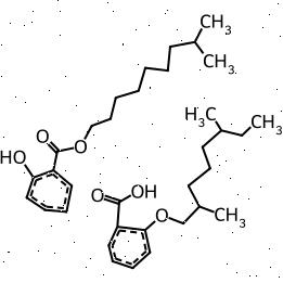 CC(C)CCCCCCCOC(=O)c1ccccc1O.CCC(C)CCCC(C)COc1ccccc1C(=O)O